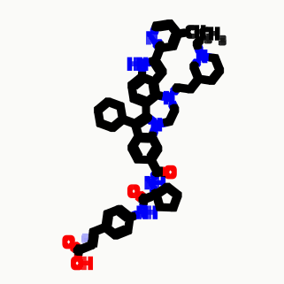 CCN1CCCC(CCN2CCn3c(c(C4CCCCC4)c4ccc(C(=O)NC5(C(=O)Nc6ccc(/C=C/C(=O)O)cc6)CCCC5)cc43)-c3ccc4[nH]c(-c5cc(C)ccn5)cc4c32)C1